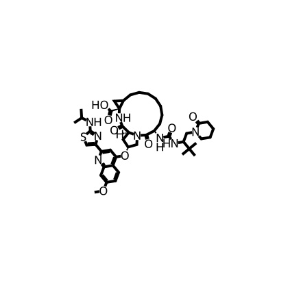 COc1ccc2c(O[C@@H]3C[C@H]4C(=O)N[C@]5(C(=O)O)CC5CCCCCCC[C@H](NC(=O)NC(CN5CCCCC5=O)C(C)(C)C)C(=O)N4C3)cc(-c3csc(NC(C)C)n3)nc2c1